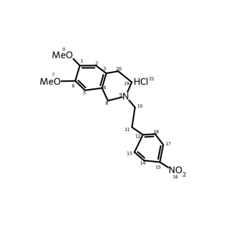 COc1cc2c(cc1OC)CN(CCc1ccc([N+](=O)[O-])cc1)CC2.Cl